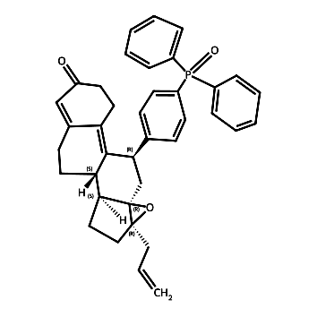 C=CC[C@]12CC[C@H]3[C@@H]4CCC5=CC(=O)CCC5=C4[C@@H](c4ccc(P(=O)(c5ccccc5)c5ccccc5)cc4)C[C@@]31O2